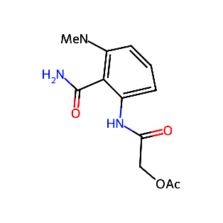 CNc1cccc(NC(=O)COC(C)=O)c1C(N)=O